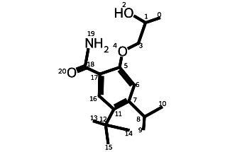 CC(O)COc1cc(C(C)C)c(C(C)(C)C)cc1C(N)=O